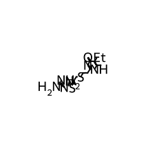 CCc1c(C)[nH]c(CCSCc2csc(N=C(N)N)n2)nc1=O